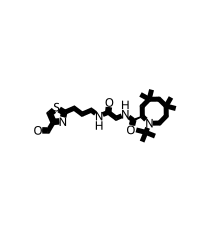 CC1(C)CCN(C(C)(C)C)[C@@H](C(=O)NCC(=O)NCCCc2nc(C=O)cs2)CC(C)(C)C1